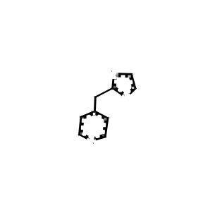 c1cc(Cc2nccs2)ccn1